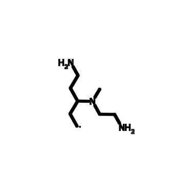 [CH2]CC(CCN)N(C)CCN